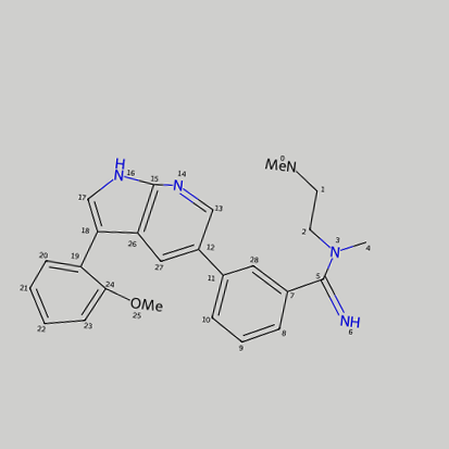 CNCCN(C)C(=N)c1cccc(-c2cnc3[nH]cc(-c4ccccc4OC)c3c2)c1